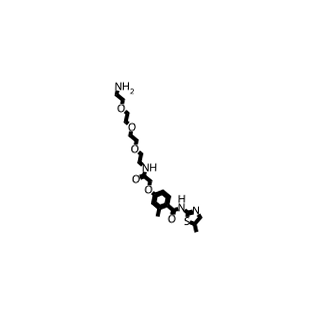 Cc1cc(OCC(=O)NCCOCCOCCOCCN)ccc1C(=O)NC1=NCC(C)S1